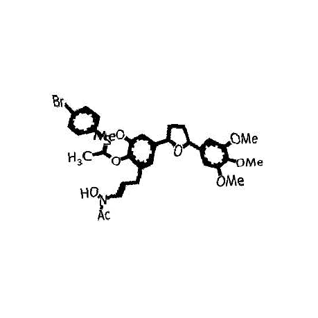 COc1cc(C2CCC(c3cc(OC)c(OC)c(OC)c3)O2)cc(C/C=C/N(O)C(C)=O)c1OC(C)Sc1ccc(Br)cc1